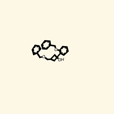 OC1(c2ccccc2OCc2ccccc2)CC(COCc2ccccc2)C1